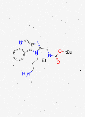 CCN(Cc1nc2cnc3ccccc3c2n1CCCN)C(=O)OC(C)(C)C